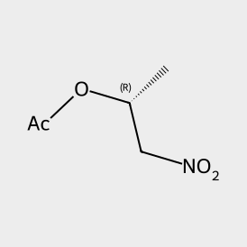 CC(=O)O[C@H](C)C[N+](=O)[O-]